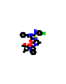 CC(C)C[C@H](NC(=O)[C@H](CCc1ccccc1)NC(=S)Nc1ccc(Cl)cc1)C(=O)N[C@@H](Cc1ccccc1)C(=O)N[C@@H](CC(C)C)C(=O)[C@@]1(C)CO1